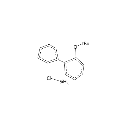 CC(C)(C)Oc1ccccc1-c1ccccc1.[SiH3]Cl